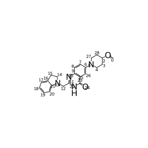 COC1CCN(c2ccc3nc(CN4CCc5ccccc54)[nH]c(=O)c3c2)CC1